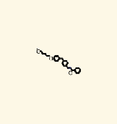 COCCCCCOc1ccc(Cc2ccc(/C=C/C(=O)c3ccccc3)cc2)cc1